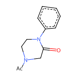 CC(=O)N1CCN(c2ccccc2)C(=O)C1